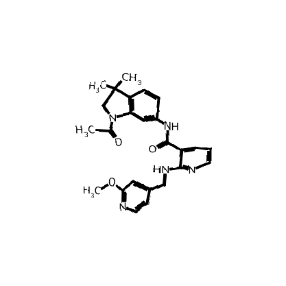 COc1cc(CNc2ncccc2C(=O)Nc2ccc3c(c2)N(C(C)=O)CC3(C)C)ccn1